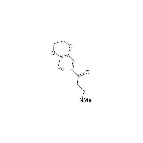 CNCCC(=O)c1ccc2c(c1)OCCO2